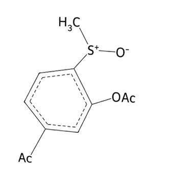 CC(=O)Oc1cc(C(C)=O)ccc1[S+](C)[O-]